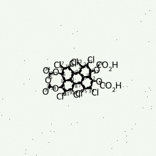 O=C(O)Oc1c(Cl)c(Cl)c2c3c(Cl)c(Cl)c4c5c(c(Cl)c(Cl)c(c6c(Cl)c(Cl)c(OC(=O)O)c1c26)c53)OC(=O)OC(=O)O4